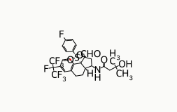 CC(C)(O)CC(=O)N[C@@H]1CC(C=O)[C@]2(S(=O)(=O)c3ccc(F)cc3)c3ccc(C(F)(C(F)(F)F)C(F)(F)F)cc3CC[C@@H]12